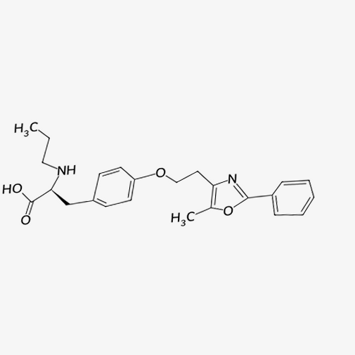 CCCN[C@@H](Cc1ccc(OCCc2nc(-c3ccccc3)oc2C)cc1)C(=O)O